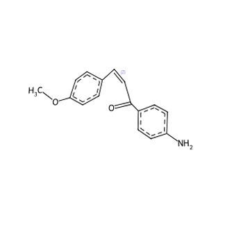 COc1ccc(/C=C\C(=O)c2ccc(N)cc2)cc1